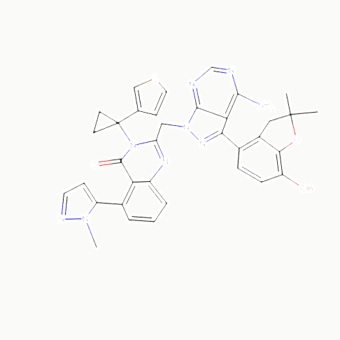 Cn1nccc1-c1cccc2nc(Cn3nc(-c4ccc(O)c5c4CC(C)(C)O5)c4c(N)ncnc43)n(C3(c4ccsc4)CC3)c(=O)c12